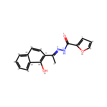 C/C(=N\NC(=O)c1ccco1)c1ccc2ccccc2c1O